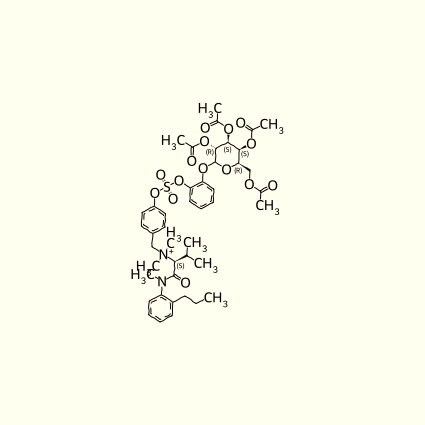 CCCc1ccccc1N(C)C(=O)[C@H](C(C)C)[N+](C)(C)Cc1ccc(OS(=O)(=O)Oc2ccccc2OC2O[C@H](COC(C)=O)[C@H](OC(C)=O)[C@H](OC(C)=O)[C@H]2OC(C)=O)cc1